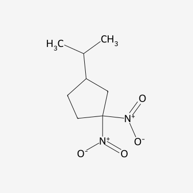 CC(C)C1CCC([N+](=O)[O-])([N+](=O)[O-])C1